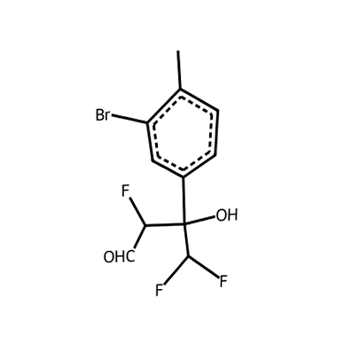 Cc1ccc(C(O)(C(F)F)C(F)C=O)cc1Br